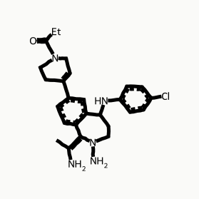 CCC(=O)N1CC=C(c2ccc3c(c2)C(Nc2ccc(Cl)cc2)CCN(N)/C3=C(/C)N)CC1